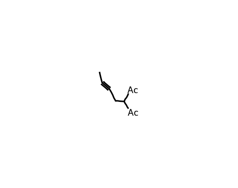 CC#CCC(C(C)=O)C(C)=O